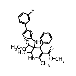 COC(=O)C1=C(C)NC(C)C(Nc2nc(-c3cccc(F)c3)cs2)(C(=O)OC)C1c1ccccc1